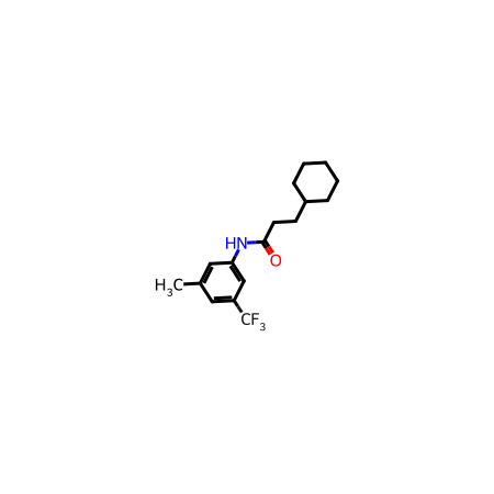 Cc1cc(NC(=O)CCC2CCCCC2)cc(C(F)(F)F)c1